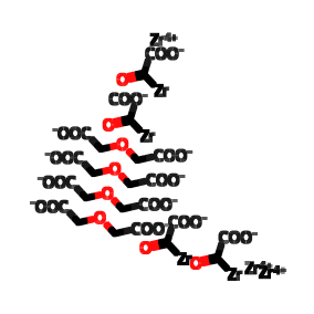 O=C([O-])COCC(=O)[O-].O=C([O-])COCC(=O)[O-].O=C([O-])COCC(=O)[O-].O=C([O-])COCC(=O)[O-].O=C([O-])[C](=O)[Zr].O=C([O-])[C](=O)[Zr].O=C([O-])[C](=O)[Zr].O=C([O-])[C](=O)[Zr].[Zr+4].[Zr+4].[Zr+4]